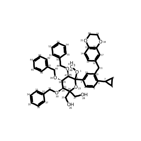 COC1(c2ccc(C3CC3)c(Cc3ccc4c(c3)OCCO4)c2)OC(CO)(CO)[C@@H](OCc2ccccc2)[C@H](OCc2ccccc2)[C@H]1OCc1ccccc1